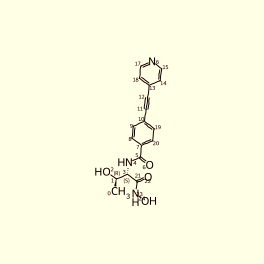 C[C@@H](O)[C@H](NC(=O)c1ccc(C#Cc2ccncc2)cc1)C(=O)NO